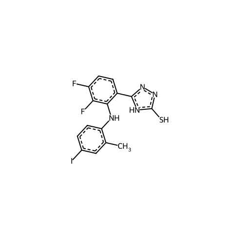 Cc1cc(I)ccc1Nc1c(-c2nnc(S)[nH]2)ccc(F)c1F